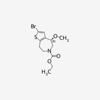 CCOC(=O)N1CCc2sc(Br)cc2[C@@H](OC)C1